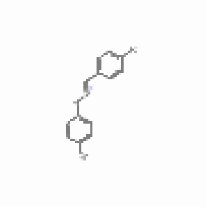 Brc1ccc([CH]/C=C/c2ccc(Br)cc2)cc1